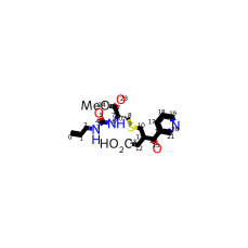 C=CCNC(=O)N[C@@H](CSCC(CC(=O)O)C(=O)c1cccnc1)C(=O)OC